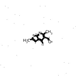 Cc1cc2c(I)c(C=O)c(C)nc2s1